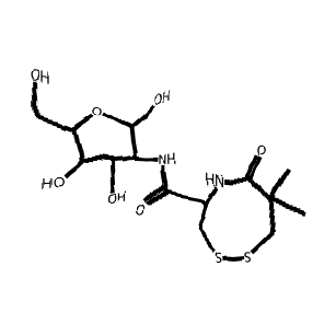 CC1(C)CSSCC(C(=O)NC2C(O)OC(CO)C(O)C2O)NC1=O